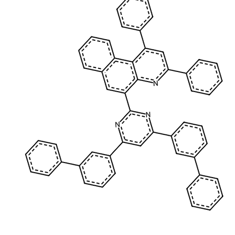 c1ccc(-c2cccc(-c3cc(-c4cccc(-c5ccccc5)c4)nc(-c4cc5ccccc5c5c(-c6ccccc6)cc(-c6ccccc6)nc45)n3)c2)cc1